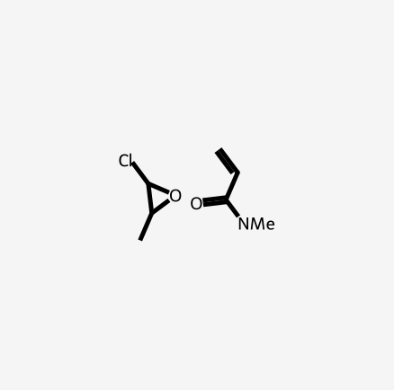 C=CC(=O)NC.CC1OC1Cl